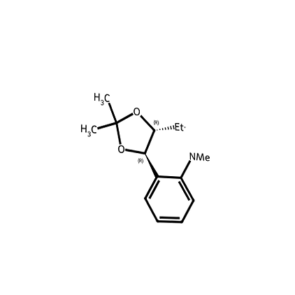 C[CH][C@H]1OC(C)(C)O[C@@H]1c1ccccc1NC